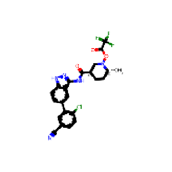 C[C@@H]1CC[C@@H](C(=O)Nc2n[nH]c3ccc(-c4cc(C#N)ccc4Cl)cc23)CN1OC(=O)C(F)(F)F